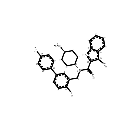 CN[C@H]1CC[C@H](N(Cc2cc(-c3ccc(C(F)(F)F)cc3)ccc2F)C(=O)c2sc3ccccc3c2Cl)CC1